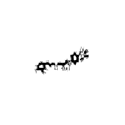 CS(=O)(=O)Nc1ccc(OC[C@H](O)CNCC=Cc2ccc(F)c(F)c2)cc1